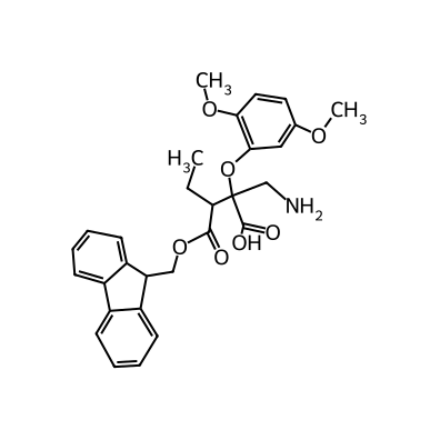 CCC(C(=O)OCC1c2ccccc2-c2ccccc21)C(CN)(Oc1cc(OC)ccc1OC)C(=O)O